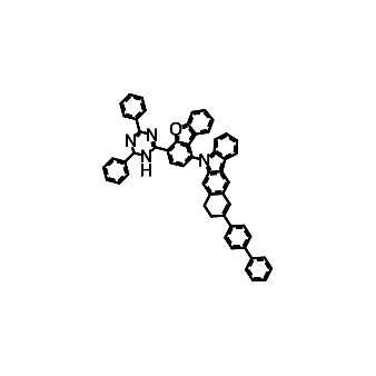 C1=C(c2ccc(-c3ccccc3)cc2)CCc2cc3c(cc21)c1ccccc1n3-c1ccc(C2=NC(c3ccccc3)=NC(c3ccccc3)N2)c2oc3ccccc3c12